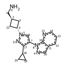 NC[C@H]1C[C@H](n2cc(-n3ncc4cccnc43)c(C3CC3)n2)C1